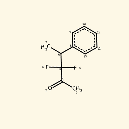 CC(=O)C(F)(F)C(C)c1ccccc1